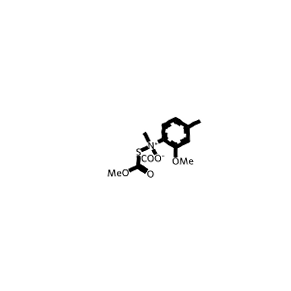 COC(=O)S[N+](C)(C(=O)[O-])c1ccc(C)cc1OC